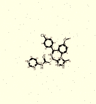 COc1ccc2c(c1)C(c1ccc(Cl)cc1)=N[C@@H](CC(=O)Nc1ccncn1)c1nnc(C)n1-2